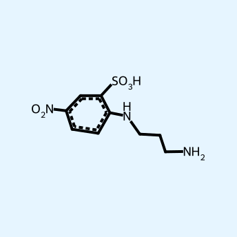 NCCCNc1ccc([N+](=O)[O-])cc1S(=O)(=O)O